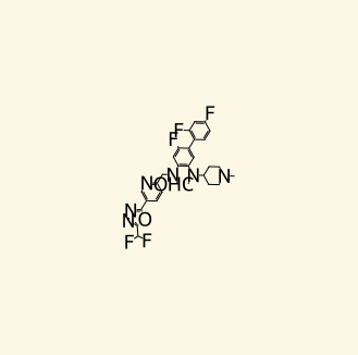 CN1CCC(N(C=O)c2cc(-c3ccc(F)cc3F)c(F)cc2N(C)Cc2ccc(-c3nnc(C(F)F)o3)cn2)CC1